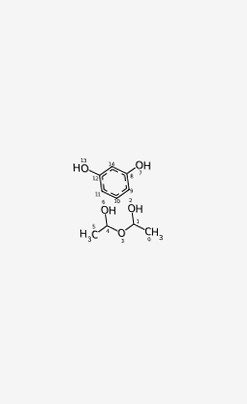 CC(O)OC(C)O.Oc1cccc(O)c1